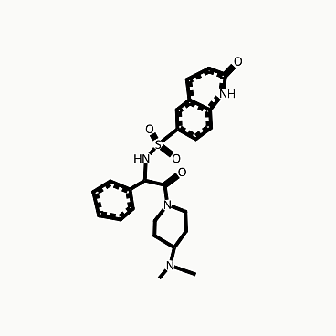 CN(C)C1CCN(C(=O)C(NS(=O)(=O)c2ccc3[nH]c(=O)ccc3c2)c2ccccc2)CC1